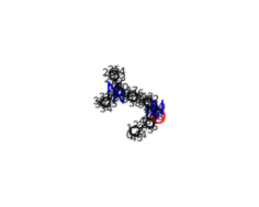 c1ccc(-c2ccc3oc4nc5ccc(-c6ccc(-c7cc(-c8ccccc8)nc(-c8ccccc8)n7)cc6)cc5n4c3c2)cc1